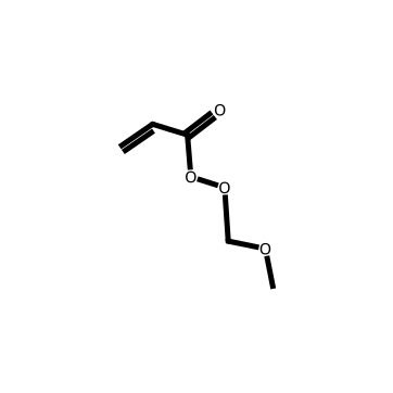 C=CC(=O)OOCOC